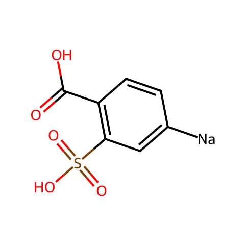 O=C(O)c1cc[c]([Na])cc1S(=O)(=O)O